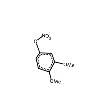 COc1ccc(O[N+](=O)[O-])cc1OC